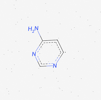 Nc1c[c]ncn1